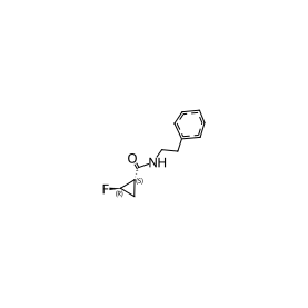 O=C(NCCc1ccccc1)[C@@H]1C[C@H]1F